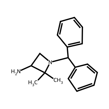 CC1(C)C(N)CN1C(c1ccccc1)c1ccccc1